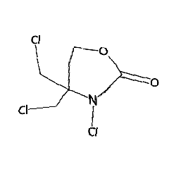 O=C1OCC(CCl)(CCl)N1Cl